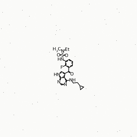 CCN(C)S(=O)(=O)Nc1cccc(C(=O)c2c[nH]c3ncnc(NCCC4CC4)c23)c1F